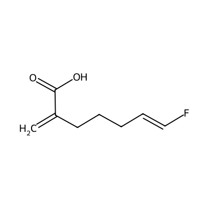 C=C(CCCC=CF)C(=O)O